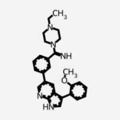 CCN1CCN(C(=N)c2cccc(-c3cnc4[nH]cc(-c5ccccc5OC)c4c3)c2)CC1